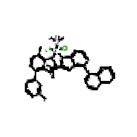 CC1=Cc2c(-c3cccc(C)c3)ccc(C)c2[CH]1[Zr]([Cl])([Cl])([CH]1C(C(C)C)=Cc2c(-c3cccc4ccccc34)cccc21)[SiH](C)C